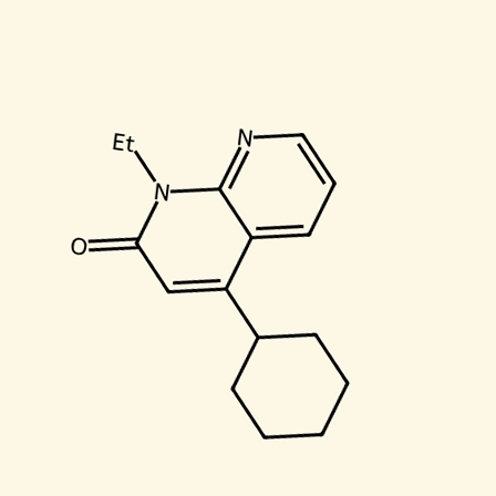 CCn1c(=O)cc(C2CCCCC2)c2cccnc21